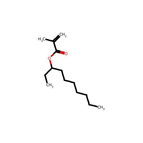 C=C(C)C(=O)OC(CC)CCCCCCC